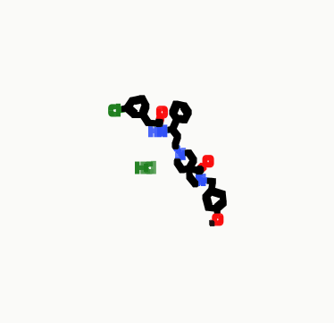 COc1ccc(CN2CCC3(CCN(CCC(NC(=O)Cc4cccc(Cl)c4)c4ccccc4)CC3)C2=O)cc1.Cl